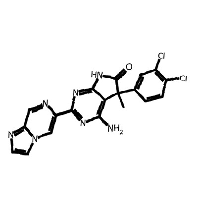 CC1(c2ccc(Cl)c(Cl)c2)C(=O)Nc2nc(-c3cn4ccnc4cn3)nc(N)c21